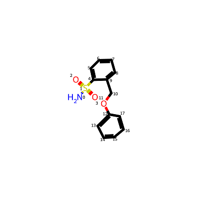 NS(=O)(=O)c1ccccc1COc1ccccc1